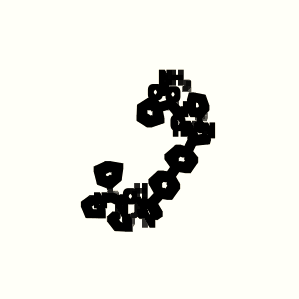 NC(=O)O[C@@H](C(=O)N1CCC[C@H]1c1ncc(-c2ccc(-c3ccc(-c4cnc([C@@H]5CCCN5C(=O)[C@@H](c5ccccc5)N5CCCC5)[nH]4)cc3)cc2)[nH]1)c1ccccc1